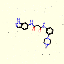 CN1CCN(c2cccc(NC(=O)CC(=O)Nc3ccc4cn[nH]c4c3)c2)CC1